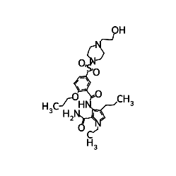 CCCOc1ccc(S(=O)(=O)N2CCN(CCO)CC2)cc1C(=O)Nc1c(CCC)cn(CC)c1C(N)=O